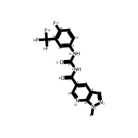 Cn1ncc2cc(C(=O)NC(=O)Nc3ccc(F)c(C(F)(F)F)c3)cnc21